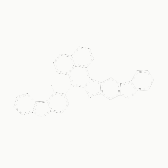 Clc1c(-n2c3cccc4cccc(c43)n3c4cc5c(cc4nc23)oc2ccccc25)ccc2sc3ccccc3c12